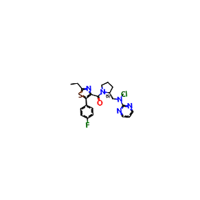 CCc1nc(C(=O)N2CCC[C@H]2CN(Cl)c2ncccn2)c(-c2ccc(F)cc2)s1